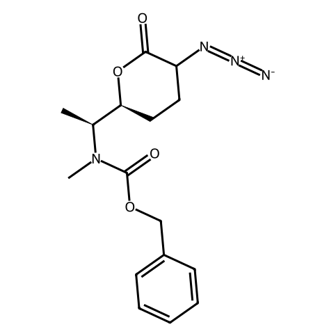 C[C@@H]([C@@H]1CCC(N=[N+]=[N-])C(=O)O1)N(C)C(=O)OCc1ccccc1